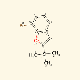 C[Si](C)(C)c1cc2cccc(Br)c2o1